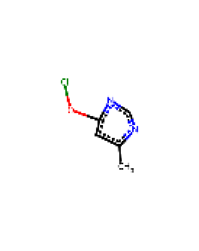 Cc1cc(OCl)ncn1